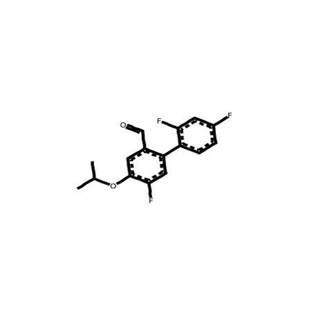 CC(C)Oc1cc(C=O)c(-c2ccc(F)cc2F)cc1F